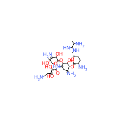 CC(N)C(=N)NC[C@@H]1CCC(N)[C@@H](OC2C(O)C(O[C@H]3OCC(C)(O)[C@H](N)C3O)[C@H](NC(=O)[C@@H](O)[C@@H](O)CCN)C[C@@H]2N)O1